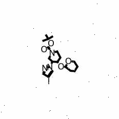 CC(C)(C)OC(=O)N1CCC(OC2CCCCO2)C(n2cc(I)cn2)C1